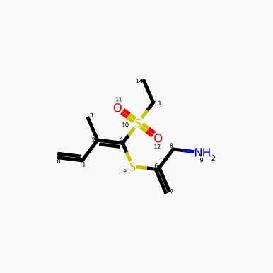 C=C/C(C)=C(\SC(=C)CN)S(=O)(=O)CC